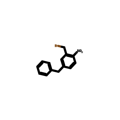 O=[N+]([O-])c1ccc(Cc2ccccc2)cc1CBr